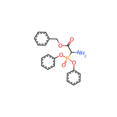 NC(C(=O)OCc1ccccc1)P(=O)(Oc1ccccc1)Oc1ccccc1